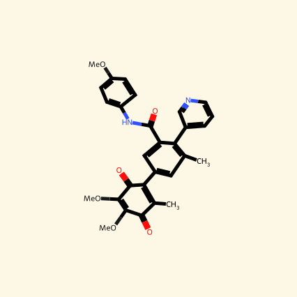 COC1=C(OC)C(=O)C(c2cc(C)c(-c3cccnc3)c(C(=O)Nc3ccc(OC)cc3)c2)=C(C)C1=O